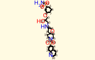 NS(=O)(=O)c1cccc(OC[C@@H](O)CN[C@H]2COC3(CCN(S(=O)(=O)c4ccc5ncccc5c4)CC3)C2)c1